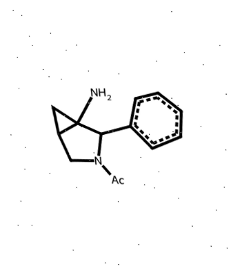 CC(=O)N1CC2CC2(N)C1c1ccccc1